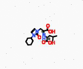 CC(C)C[C@H](N[C@@H](Cn1ccn(C2CCCCC2)c1=O)C(=O)O)C(=O)O